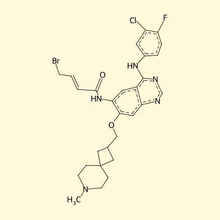 CN1CCC2(CC1)CC(COc1cc3ncnc(Nc4ccc(F)c(Cl)c4)c3cc1NC(=O)/C=C/CBr)C2